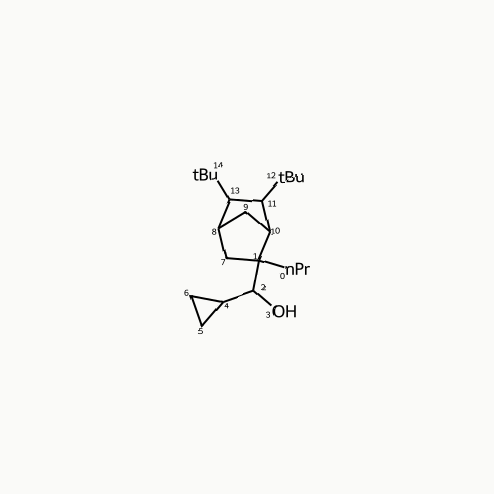 CCCC1(C(O)C2CC2)CC2CC1C(C(C)(C)C)C2C(C)(C)C